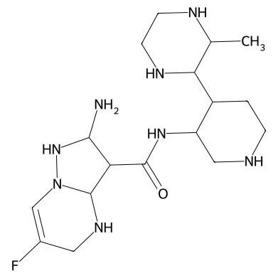 CC1NCCNC1C1CCNCC1NC(=O)C1C(N)NN2C=C(F)CNC12